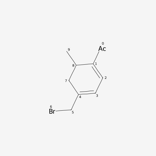 CC(=O)C1=CC=C(CBr)CC1C